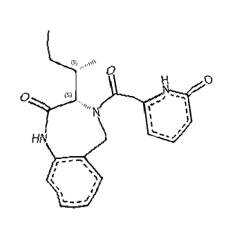 CC[C@H](C)[C@H]1C(=O)Nc2ccccc2CN1C(=O)c1cccc(=O)[nH]1